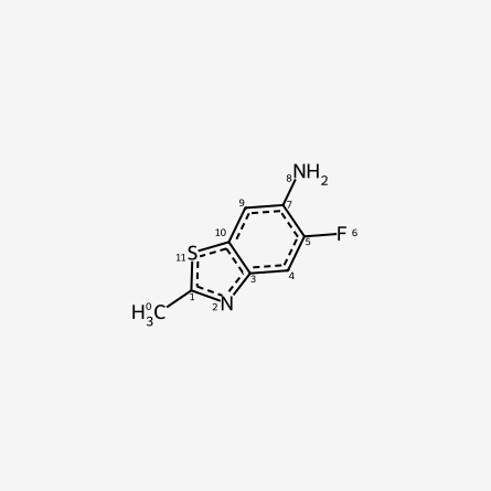 Cc1nc2cc(F)c(N)cc2s1